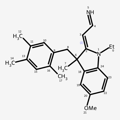 CCN1/C(=C\C=N)C(C)(Cc2cc(C)c(C)cc2C)c2cc(OC)ccc21